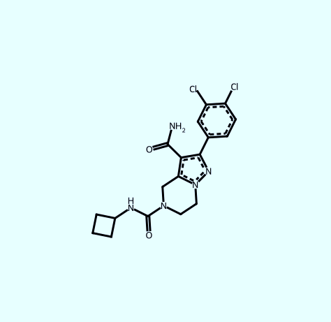 NC(=O)c1c(-c2ccc(Cl)c(Cl)c2)nn2c1CN(C(=O)NC1CCC1)CC2